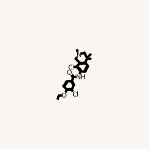 CCOc1ccc(C(=O)Nc2ccc3c(c2Cl)CN(C)CC3(C)C)cc1Cl